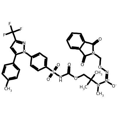 Cc1ccc(-c2cc(C(F)(F)F)nn2-c2ccc(S(=O)(=O)NC(=O)OCC(C)(C)N(C)/[N+]([O-])=N\OCN3C(=O)c4ccccc4C3=O)cc2)cc1